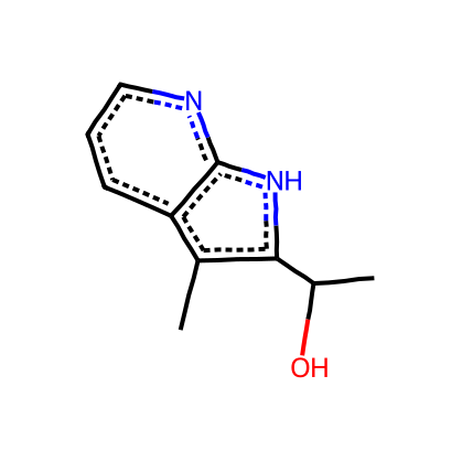 Cc1c(C(C)O)[nH]c2ncccc12